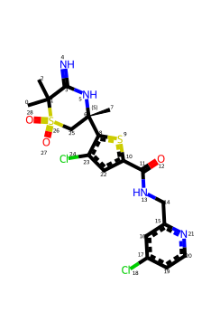 CC1(C)C(=N)N[C@](C)(c2sc(C(=O)NCc3cc(Cl)ccn3)cc2Cl)CS1(=O)=O